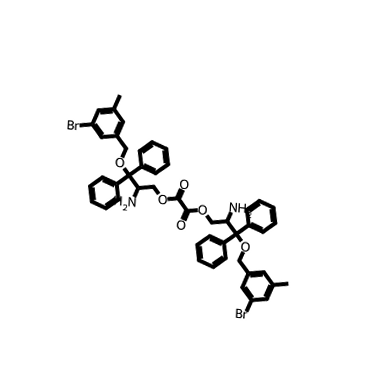 Cc1cc(Br)cc(COC(c2ccccc2)(c2ccccc2)C(N)COC(=O)C(=O)OCC(N)C(OCc2cc(C)cc(Br)c2)(c2ccccc2)c2ccccc2)c1